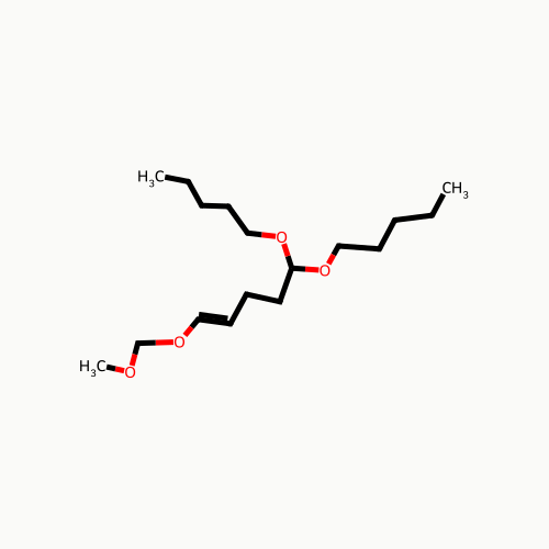 CCCCCOC(CCC=COCOC)OCCCCC